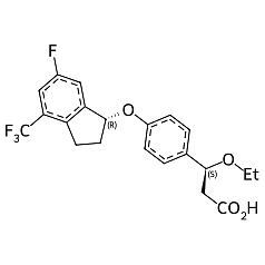 CCO[C@@H](CC(=O)O)c1ccc(O[C@@H]2CCc3c2cc(F)cc3C(F)(F)F)cc1